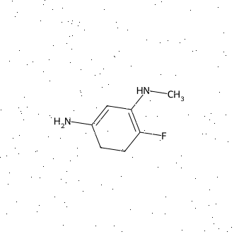 CNC1=C(F)CCC(N)=C1